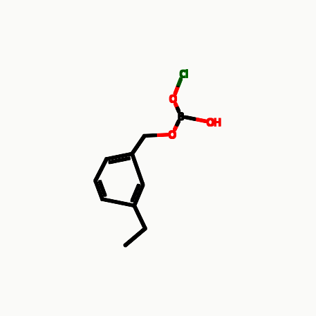 CCc1cccc(COB(O)OCl)c1